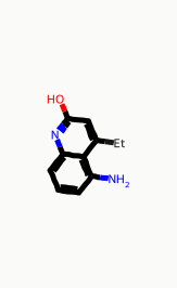 CCc1cc(O)nc2cccc(N)c12